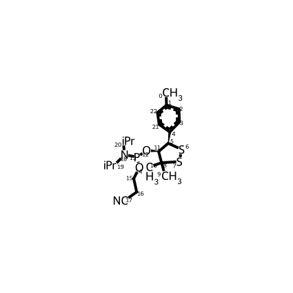 Cc1ccc([C@H]2SSC(C)(C)[C@H]2OP(OCCC#N)N(C(C)C)C(C)C)cc1